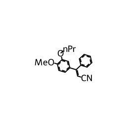 CCCOc1cc(C(=CC#N)c2ccccc2)ccc1OC